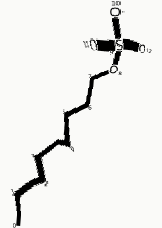 CCCCCCCCOS([O])(=O)=O